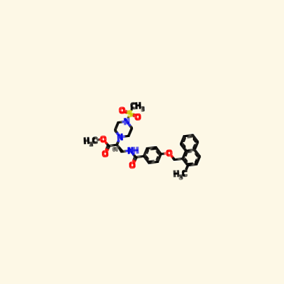 COC(=O)[C@H](CNC(=O)c1ccc(OCc2c(C)ccc3ccccc23)cc1)N1CCN(S(C)(=O)=O)CC1